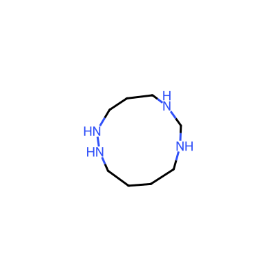 C1CCNNCCCNCNC1